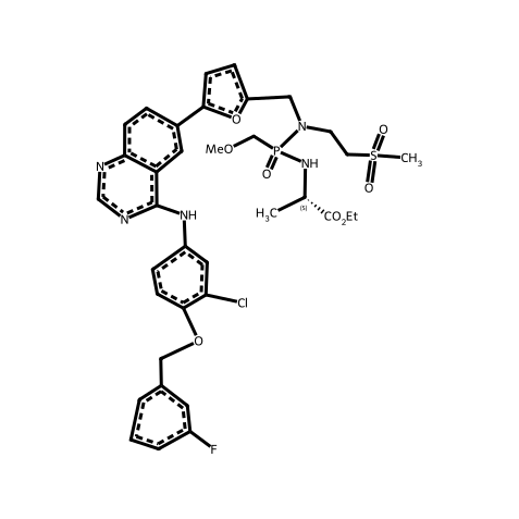 CCOC(=O)[C@H](C)NP(=O)(COC)N(CCS(C)(=O)=O)Cc1ccc(-c2ccc3ncnc(Nc4ccc(OCc5cccc(F)c5)c(Cl)c4)c3c2)o1